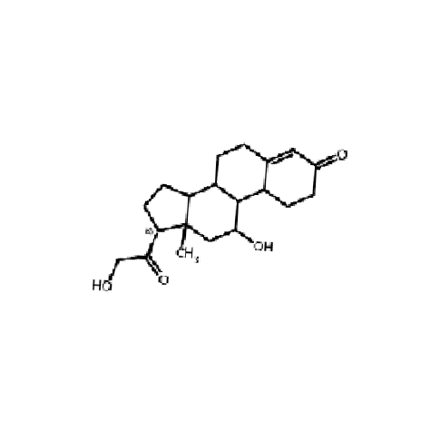 CC12CC(O)C3C4CCC(=O)C=C4CCC3C1CC[C@@H]2C(=O)CO